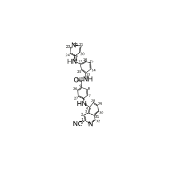 N#Cc1cc2c(Nc3ccc(C(=O)Nc4cccc(Nc5ccncc5)c4)cc3)cccc2cn1